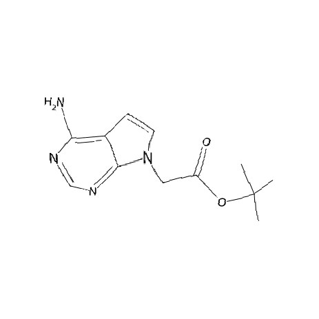 CC(C)(C)OC(=O)Cn1ccc2c(N)ncnc21